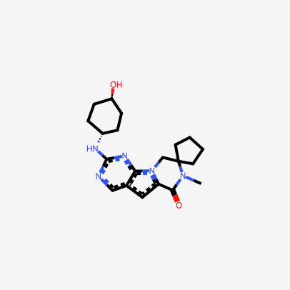 CN1C(=O)c2cc3cnc(N[C@H]4CC[C@H](O)CC4)nc3n2CC12CCCC2